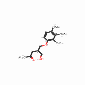 COC(=O)CC(CO)COc1ccc(OC)c(OC)c1OC